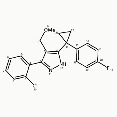 COCc1c(-c2ccccc2Cl)n[nH]c1C1(c2ccc(F)cc2)CC1